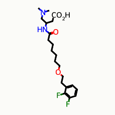 CN(C)CC(CC(=O)O)NC(=O)CCCCCCOCCc1cccc(F)c1F